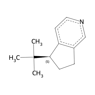 CC(C)(C)[C@@H]1CCc2cnccc21